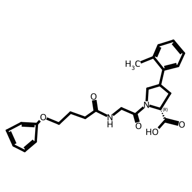 Cc1ccccc1C1C[C@H](C(=O)O)N(C(=O)CNC(=O)CCCOc2ccccc2)C1